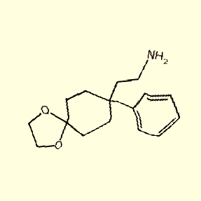 NCCC1(c2ccccc2)CCC2(CC1)OCCO2